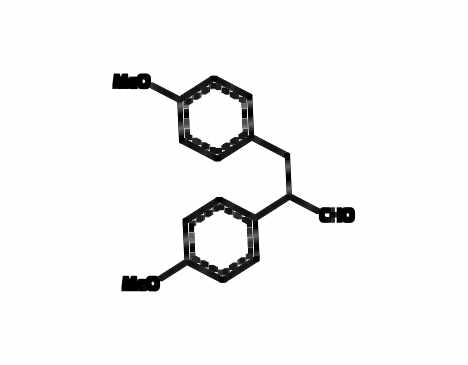 COc1ccc(CC(C=O)c2ccc(OC)cc2)cc1